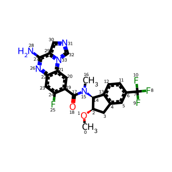 CO[C@@H]1Cc2cc(C(F)(F)F)ccc2[C@@H]1N(C)C(=O)c1cc2c(cc1F)nc(N)c1cncn12